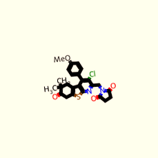 COc1ccc(-c2c(Cl)c(CN3C(=O)CCC3=O)nc3sc4c(c23)CC(C)(C)C(=O)C4)cc1